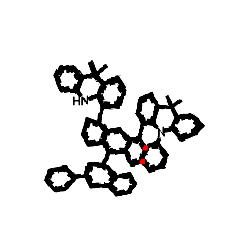 CC1(C)c2ccccc2Nc2c(-c3cccc4c(-c5cc(-c6ccccc6)cc6ccccc56)c5cccc(-c6cccc7c6N(c6ccccc6)c6ccccc6C7(C)C)c5cc34)cccc21